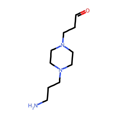 NCCCN1CCN(CCC=O)CC1